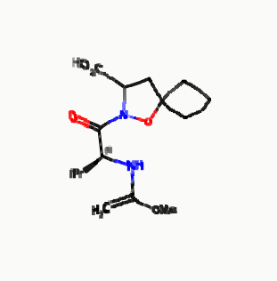 C=C(N[C@H](C(=O)N1OC2(CCC2)CC1C(=O)O)C(C)C)OC